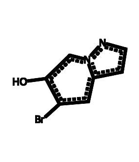 Oc1cn2nccc2cc1Br